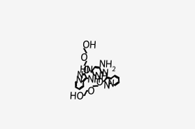 N=C1C=C(N)C(=Nc2c(OCCOCCO)nn3ccccc23)NC1Nc1c(OCCOCCO)nn2ccccc12